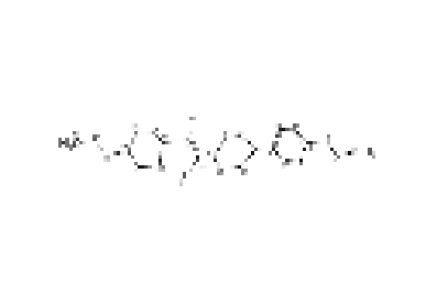 CCCc1ccc(C2CCC(/C(F)=C(\F)C3CCC(CCC)CC3)CC2)cc1